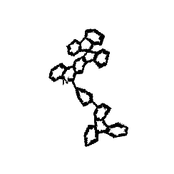 c1ccc2c(c1)-c1ccccc1C21c2ccccc2-c2cc3c(-c4ccc(-c5ccc6c7ccccc7c7ccccc7c6c5)cc4)nc4ccccc4c3cc21